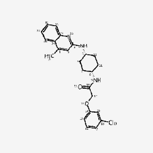 Cc1cc(N[C@H]2CC[C@@H](NC(=O)COc3cccc(Cl)c3)CC2)nc2ccccc12